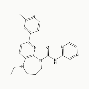 CCN1CCCN(C(=O)Nc2cnccn2)c2nc(-c3ccnc(C)c3)ccc21